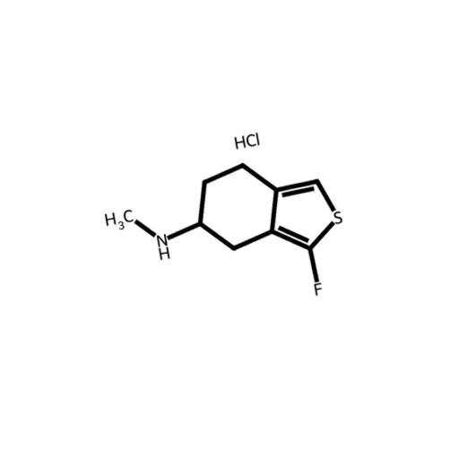 CNC1CCc2csc(F)c2C1.Cl